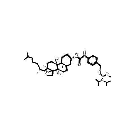 COP(OCc1ccc(NC(=O)O[C@H]2CC[C@@]3(C)C(=CC[C@H]4[C@@H]5CC[C@H]([C@H](C)CCCC(C)C)[C@@]5(C)CC[C@@H]43)C2)cc1)N(C(C)C)C(C)C